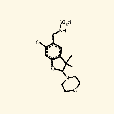 CC1(C)c2cc(CNS(=O)(=O)O)c(Cl)cc2OC1N1CCOCC1